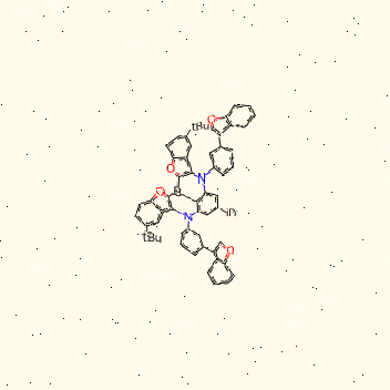 CC(C)c1cc2c3c(c1)N(c1cccc(-c4coc5ccccc45)c1)c1c(oc4ccc(C(C)(C)C)cc14)B3c1oc3ccc(C(C)(C)C)cc3c1N2c1cccc(-c2coc3ccccc23)c1